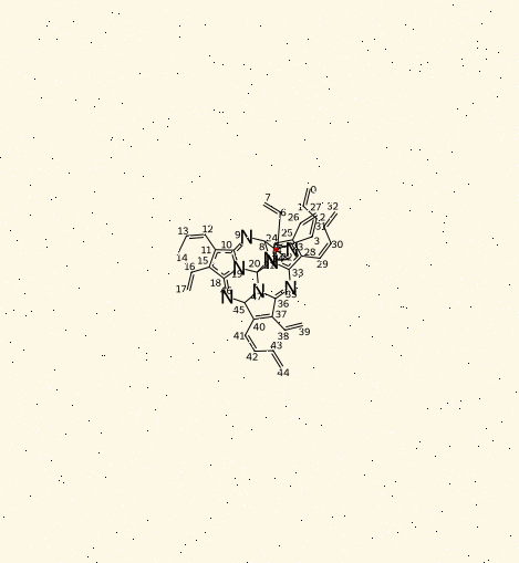 C=C/C=C\C1=C(C=C)C2N=c3c(/C=C\C)c(C=C)c4n3C35N2C1=Nc1c(C=C)c(/C=C\C=C)c(n13)N=C1C(C=C)=C(/C=C\C=C)C(N=4)N15